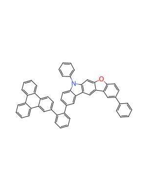 c1ccc(-c2ccc3oc4cc5c(cc4c3c2)c2cc(-c3ccccc3-c3ccc4c6ccccc6c6ccccc6c4c3)ccc2n5-c2ccccc2)cc1